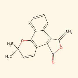 BC1(C)C=Cc2c3c(c4ccccc4c2O1)C(=C)OC3=O